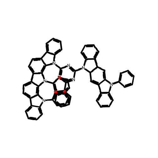 C1=c2c(n(-c3ccccc3)c3ccccc23)=CC2c3ccccc3N(c3nc(-c4ccccc4)nc(-n4c5ccccc5c5ccc6c7ccc8c9ccccc9n(-c9ccccc9)c8c7n(-c7ccccc7)c6c54)n3)C12